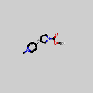 C[n+]1ccc([C@@H]2CCN(C(=O)OC(C)(C)C)C2)cc1